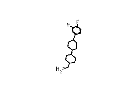 Fc1ccc(C2CCC(C3CCC(CP)CC3)CC2)cc1F